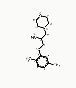 Cc1ccc(C)c(OCC(O)CN2CCOCC2)c1